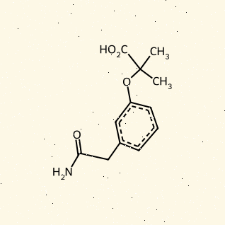 CC(C)(Oc1cccc(CC(N)=O)c1)C(=O)O